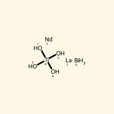 [BiH3].[La].[Nd].[OH][Ti]([OH])([OH])[OH]